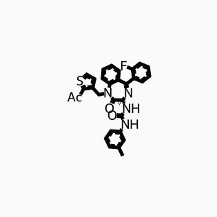 CC(=O)c1sccc1CN1C(=O)[C@H](NC(=O)Nc2cccc(C)c2)N=C(c2ccccc2F)c2ccccc21